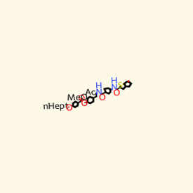 CCCCCCCOc1ccc(C(=O)Oc2ccc(CC(NC(=O)c3ccc(NC(=O)c4cc5ccccc5s4)cc3)C(C)=O)cc2OC)cc1